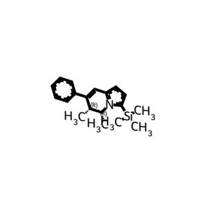 C[C@@H]1C(c2ccccc2)=Cc2ccc([Si](C)(C)C)n2[C@@H]1C